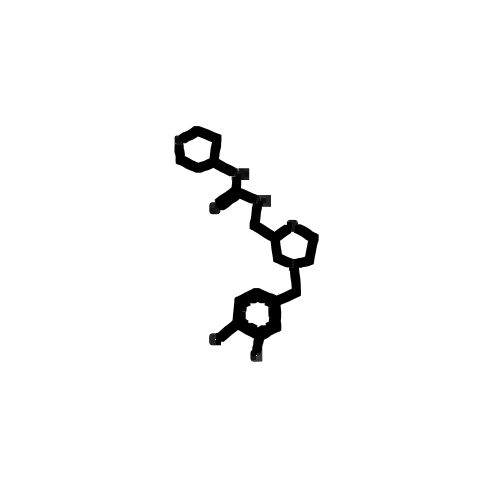 O=C(NCC1CN(Cc2ccc(Cl)c(Cl)c2)CCO1)NC1CCSCC1